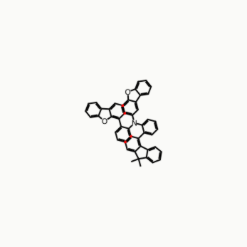 CC1(C)c2ccccc2-c2c(-c3ccccc3N(c3ccc4oc5ccccc5c4c3)c3ccccc3-c3cccc4c3oc3ccccc34)cccc21